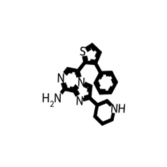 Nc1ncc(-c2sccc2-c2ccccc2)n2cc(C3CCCNC3)nc12